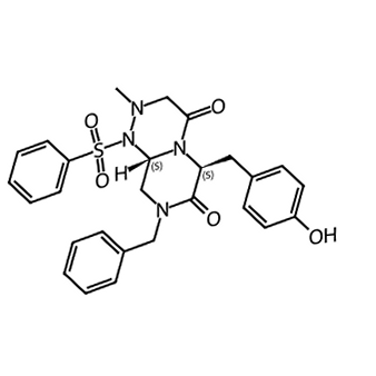 CN1CC(=O)N2[C@@H](Cc3ccc(O)cc3)C(=O)N(Cc3ccccc3)C[C@@H]2N1S(=O)(=O)c1ccccc1